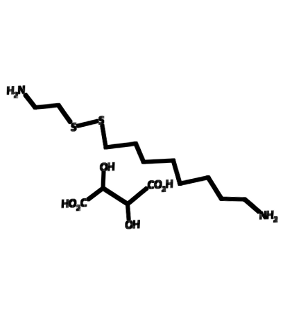 NCCCCCCCCSSCCN.O=C(O)C(O)C(O)C(=O)O